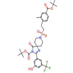 Cc1cc(C(=O)OC(C)(C)C)ccc1CCS(=O)(=O)N1CCC2(CC1)N=C(c1cc(O)cc(C(F)(F)F)c1)N(C(=O)OC(C)(C)C)C2=O